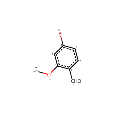 CCOc1cc(Br)ccc1C=O